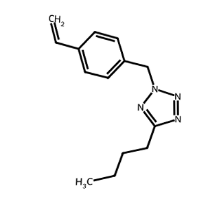 C=Cc1ccc(Cn2nnc(CCCC)n2)cc1